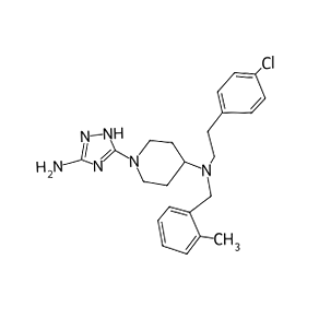 Cc1ccccc1CN(CCc1ccc(Cl)cc1)C1CCN(c2nc(N)n[nH]2)CC1